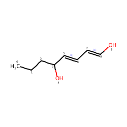 CCCC(O)/C=C/C=C/O